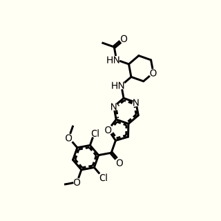 COc1cc(OC)c(Cl)c(C(=O)c2cc3cnc(NC4COCCC4NC(C)=O)nc3o2)c1Cl